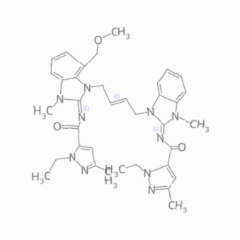 CCn1nc(C)cc1C(=O)/N=c1\n(C)c2ccccc2n1C/C=C/Cn1/c(=N/C(=O)c2cc(C)nn2CC)n(C)c2cccc(COC)c21